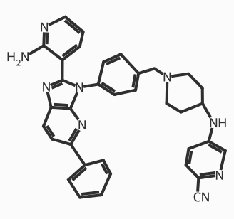 N#Cc1ccc(NC2CCN(Cc3ccc(-n4c(-c5cccnc5N)nc5ccc(-c6ccccc6)nc54)cc3)CC2)cn1